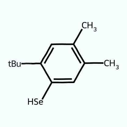 Cc1cc([SeH])c(C(C)(C)C)cc1C